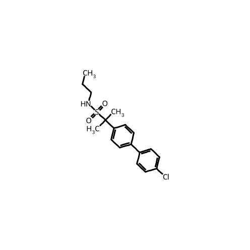 CCCNS(=O)(=O)C(C)(C)c1ccc(-c2ccc(Cl)cc2)cc1